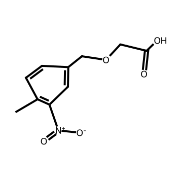 Cc1ccc(COCC(=O)O)cc1[N+](=O)[O-]